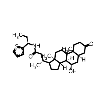 CC[C@@H](NC(=O)C[C@@H](C)C1CC[C@H]2[C@@H]3[C@H](O)C[C@@H]4CC(=O)CC[C@]4(C)[C@H]3CC[C@]12C)c1cccs1